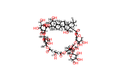 C[C@@H]1O[C@H]2O[C@H]3[C@@H](OC[C@H](O)[C@@H]3O)OC(=O)[C@]34CCC(C)(C)C[C@H]3C3=CC[C@@H]5[C@@]6(C)C[C@H](O)[C@@H](O[C@@H]7O[C@H](CO)[C@@H](O)[C@H](O)[C@H]7O[C@@H]7OC[C@H](OC(=O)C[C@](C)(O)CC(=O)O[C@@H]1[C@@H](O[C@@H]1OC[C@@H](O)[C@H](O)[C@H]1O)[C@H]2O)[C@H](O)[C@H]7O)[C@@](C)(CO)[C@@H]6CC[C@@]5(C)[C@]3(C)C[C@H]4O